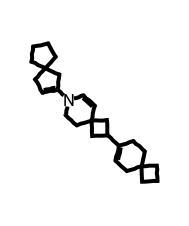 C1=CC2(CCN1C1=CCC3(CCCC3)C1)CC(C1=CCC3(CCC3)CC1)C2